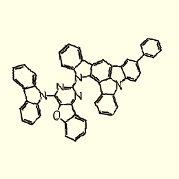 c1ccc(-c2ccc3c(c2)c2cc4c5ccccc5n(-c5nc(-n6c7ccccc7c7ccccc76)c6oc7ccccc7c6n5)c4c4c5ccccc5n3c24)cc1